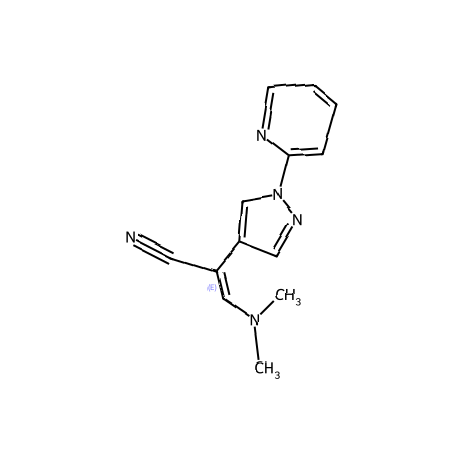 CN(C)/C=C(/C#N)c1cnn(-c2ccccn2)c1